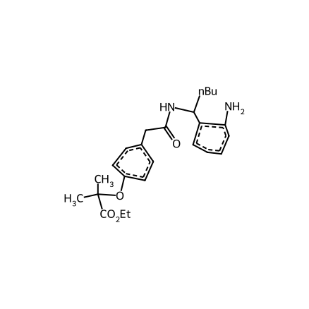 CCCCC(NC(=O)Cc1ccc(OC(C)(C)C(=O)OCC)cc1)c1ccccc1N